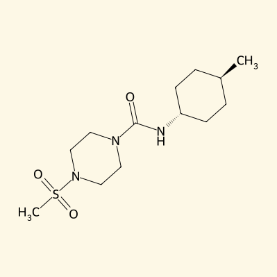 CS(=O)(=O)N1CCN(C(=O)N[C@H]2CC[C@H](C)CC2)CC1